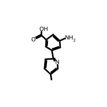 Cc1ccc(-c2cc(N)cc(C(=O)O)c2)nc1